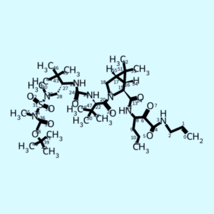 C=CCNC(=O)C(=O)C(CCC)NC(=O)[C@@H]1[C@@H]2[C@H](CN1C(=O)[C@@H](NC(=O)N[C@H](CN(C)S(=O)(=O)N(C)C(=O)OC(C)(C)C)C(C)(C)C)C(C)(C)C)C2(C)C